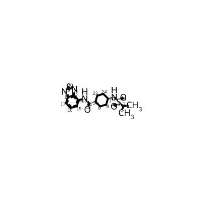 CC(C)S(=O)(=O)N[C@H]1CC[C@H](C(=O)Nc2cccc3nsnc23)CC1